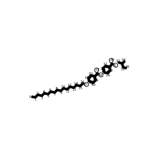 CCCCCCCCCCCCCCCCCOc1ccc(C(=O)Oc2ccc(C(=O)OCC(C)CC)cc2)cc1